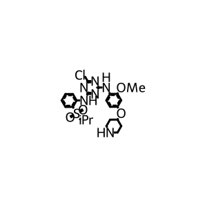 COc1cc(OC2CCNCC2)ccc1Nc1nc(Cl)nc(Nc2ccccc2S(=O)(=O)C(C)C)n1